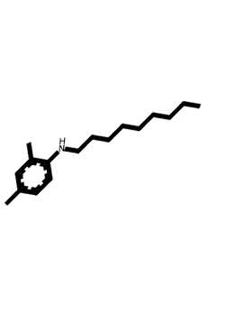 CCCCCCCCCNc1ccc(C)cc1C